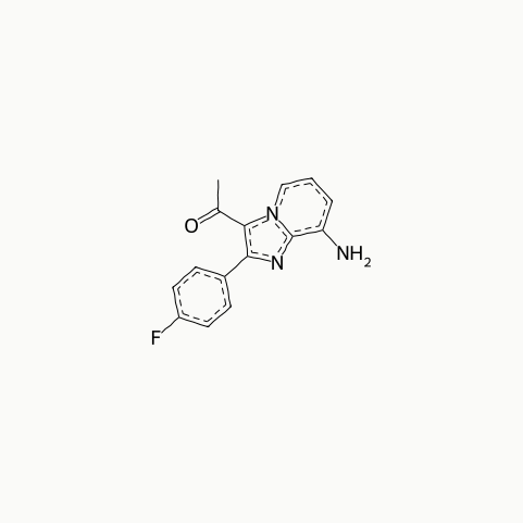 CC(=O)c1c(-c2ccc(F)cc2)nc2c(N)cccn12